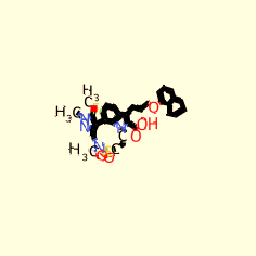 CCc1c2c(nn1C)CN(C)S(=O)(=O)CCCn1c(C(=O)O)c(CCCOc3cccc4ccccc34)c3ccc(F)c-2c31